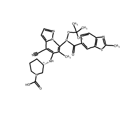 Cc1nc2ccc(C(=O)N(OC(C)(C)C)c3c(C)c(N[C@H]4CCCN(C(=O)O)C4)c(C#N)c4ccnn34)cc2s1